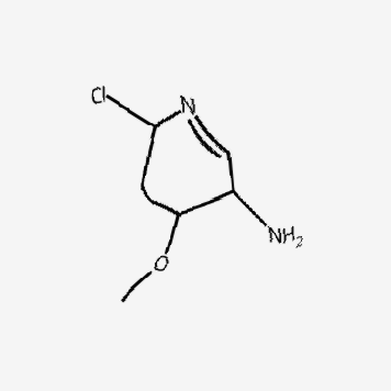 COC1CC(Cl)N=CC1N